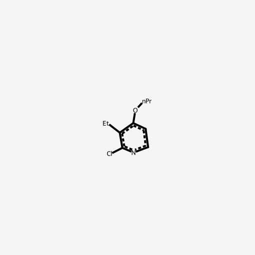 CCCOc1ccnc(Cl)c1CC